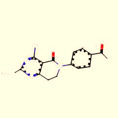 COc1nc(N)c2c(n1)CCN(c1ccc(C(=O)C(C)(C)C)cc1)C2=O